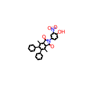 Cc1c2c(c(C)c(-c3ccccc3)c1-c1ccccc1)C(=O)N(c1ccc(O)c([N+](=O)[O-])c1)C2=O